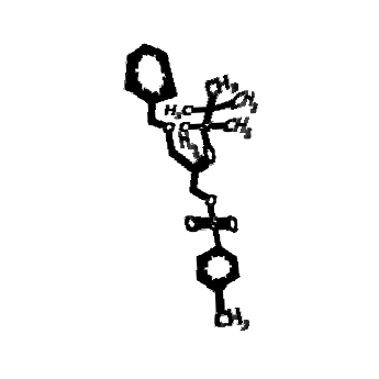 Cc1ccc(S(=O)(=O)OCC(COCc2ccccc2)O[Si](C)(C)C(C)(C)C)cc1